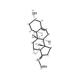 CN/N=C1\CC[C@H]2[C@@H]3CC=C4C[C@@H](O)CC[C@]4(C)[C@H]3CC[C@]12C